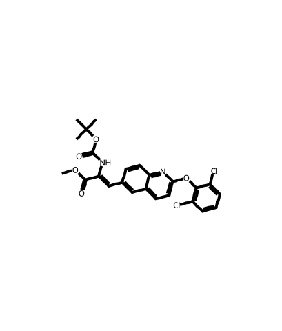 COC(=O)C(=Cc1ccc2nc(Oc3c(Cl)cccc3Cl)ccc2c1)NC(=O)OC(C)(C)C